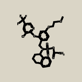 COCCOc1ccc(CN(C2CCCc3ccccc32)S(=O)(=O)OC(N)=O)c(Oc2ncc(C(F)(F)F)cc2Cl)c1